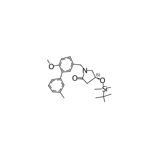 COc1ccc(CN2C[C@@H](O[Si](C)(C)C(C)(C)C)CC2=O)cc1-c1cccc(C)c1